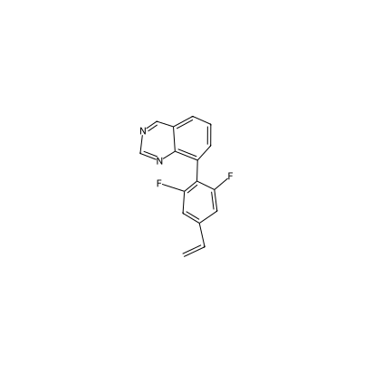 C=Cc1cc(F)c(-c2cccc3cncnc23)c(F)c1